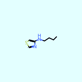 CCCCNc1cs[c]n1